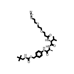 CC(C)[C@H](NC(=O)CCOCCOCCN=[N+]=[N-])C(=O)N[C@@H](C)C(=O)Nc1ccc(COC(=O)NCC(C)(C)C)cc1